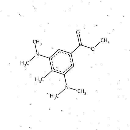 COC(=O)c1cc(N(C)C)c(C)c(N(C)C)c1